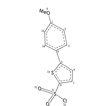 COc1ccc(-c2ccc(S(=O)(=O)Cl)s2)cc1